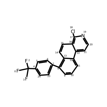 FC(F)(F)c1ccc(-c2cccc3c2ccc2c(Cl)nccc23)cc1